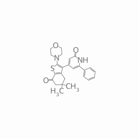 CC1(C)CC(=O)c2sc(N3CCOCC3)c(-c3cc(-c4ccccc4)[nH]c(=O)c3)c2C1